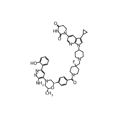 C[C@H]1CN(c2cc(-c3ccccc3O)nnc2N)C[C@@H](c2ccc(C(=O)N3CCC(F)(CN4CCC(n5cc(C6CC6)c6cc(N7CCC(=O)NC7=O)cnc65)CC4)CC3)cc2)O1